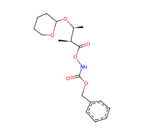 C[C@H](OC1CCCCO1)[C@H](C)C(=O)ONC(=O)OCc1ccccc1